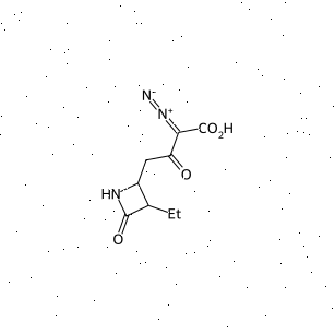 CCC1C(=O)NC1CC(=O)C(=[N+]=[N-])C(=O)O